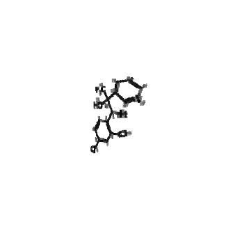 CCC(c1ccc(Cl)cc1Cl)C(O)(c1cccnc1)C(F)(F)F